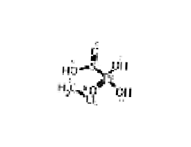 CCl.O=S(O)P(=O)(O)O